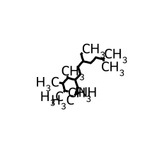 CCC(CCC(C)C)CCC(C(C)C(C)C(C)C)C1NC1C